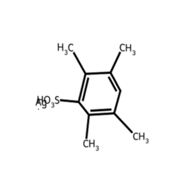 Cc1cc(C)c(C)c(S(=O)(=O)O)c1C.[Ag]